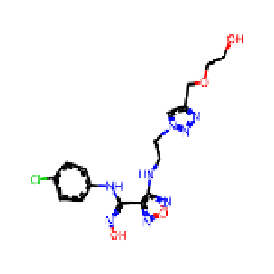 OCCOCc1cn(CCNc2nonc2C(=NO)Nc2ccc(Cl)cc2)nn1